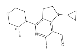 C[C@@H]1COCCN1c1nc(F)c(C=O)c2c1CCN2C1CC1